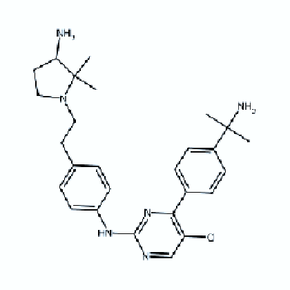 CC(C)(N)c1ccc(-c2nc(Nc3ccc(CCN4CCC(N)C4(C)C)cc3)ncc2Cl)cc1